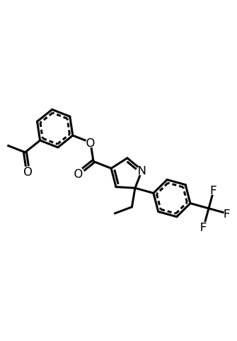 CCC1(c2ccc(C(F)(F)F)cc2)C=C(C(=O)Oc2cccc(C(C)=O)c2)C=N1